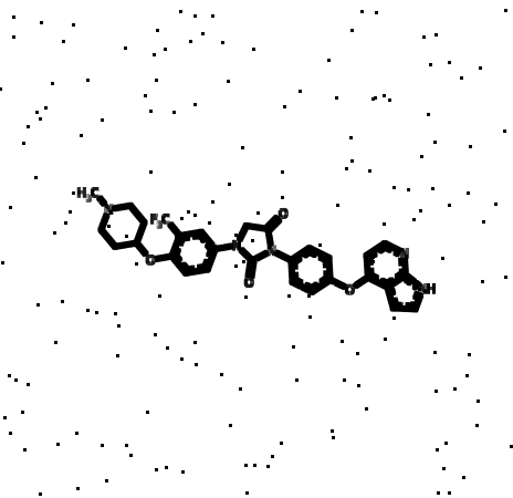 CN1CCC(Oc2ccc(N3CC(=O)N(c4ccc(Oc5ccnc6[nH]ccc56)cc4)C3=O)cc2C(F)(F)F)CC1